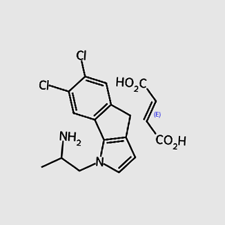 CC(N)Cn1ccc2c1-c1cc(Cl)c(Cl)cc1C2.O=C(O)/C=C/C(=O)O